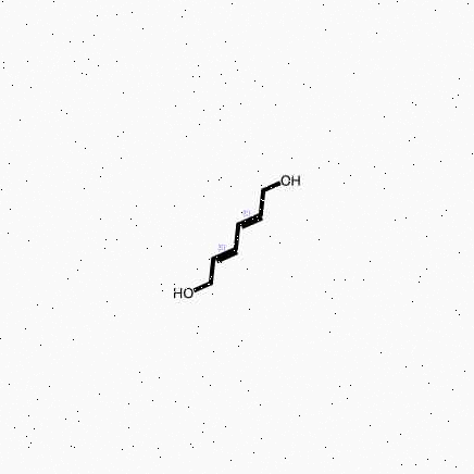 OC/C=C/C=C/CO